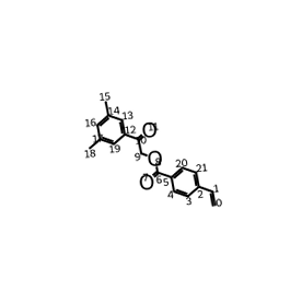 C=Cc1ccc(C(=O)OCC(=O)c2cc(C)cc(C)c2)cc1